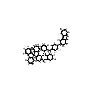 c1ccc(N(c2ccc(-c3ccc4oc5ccccc5c4c3)cc2)c2cccc3c2Oc2c(ccc4c2-c2ccccc2C42c4ccccc4-c4ccccc42)O3)cc1